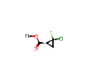 CCOC(=O)[C@@H]1CC1(F)Cl